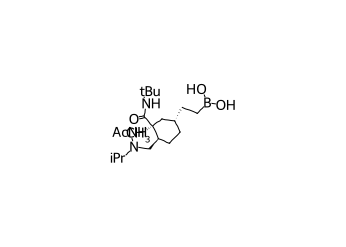 CC(=O)N[C@]1(C(=O)NC(C)(C)C)C[C@H](CCB(O)O)CC[C@H]1CN(C)C(C)C